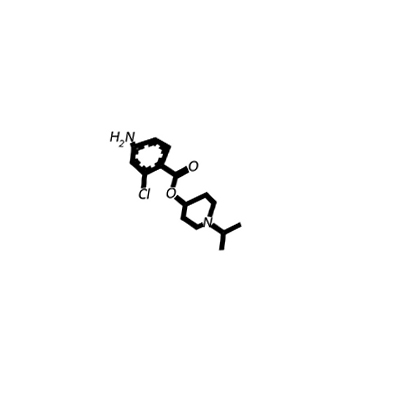 CC(C)N1CCC(OC(=O)c2ccc(N)cc2Cl)CC1